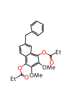 CCC(=O)Oc1c(OC)c(OC)c(OC(=O)CC)c2cc(Cc3ccccc3)ccc12